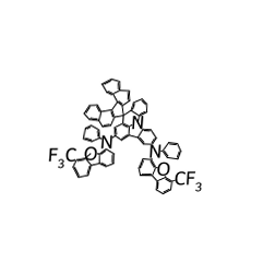 FC(F)(F)c1cccc2c1oc1c(N(c3ccccc3)c3ccc4c(c3)c3cc(N(c5ccccc5)c5cccc6c5oc5c(C(F)(F)F)cccc56)cc5c3n4-c3ccccc3C53c4ccc5ccccc5c4-c4c3ccc3ccccc43)cccc12